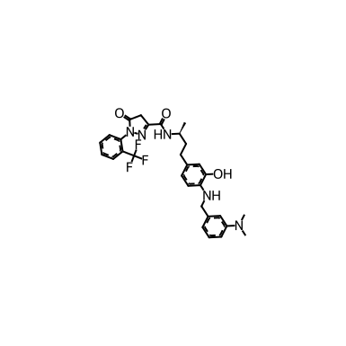 C[C@@H](CCc1ccc(NCc2cccc(N(C)C)c2)c(O)c1)NC(=O)C1=NN(c2ccccc2C(F)(F)F)C(=O)C1